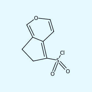 O=S(=O)(Cl)C1=C2C=COC=C2CC1